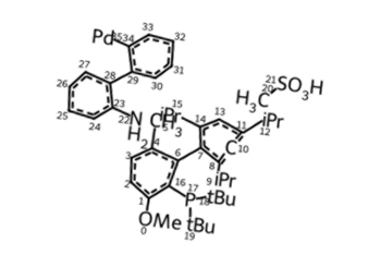 COc1ccc(C)c(-c2c(C(C)C)cc(C(C)C)cc2C(C)C)c1P(C(C)(C)C)C(C)(C)C.CS(=O)(=O)O.Nc1ccccc1-c1cccc[c]1[Pd]